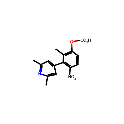 Cc1cc(-c2c([N+](=O)[O-])ccc(OC(=O)O)c2C)cc(C)n1